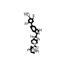 CCc1cc(O)c(F)cc1-c1ccc2c(-c3nc4c([nH]3)CCN(C(=O)[C@]35C[C@H]3CCN5)C4)n[nH]c2c1